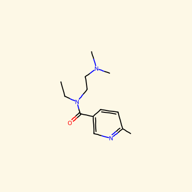 CCN(CCN(C)C)C(=O)c1ccc(C)nc1